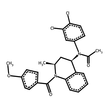 COc1ccc(C(=O)N2c3ccccc3[C@H](N(C(C)=O)c3ccc(Cl)c(Cl)c3)C[C@@H]2C)cc1